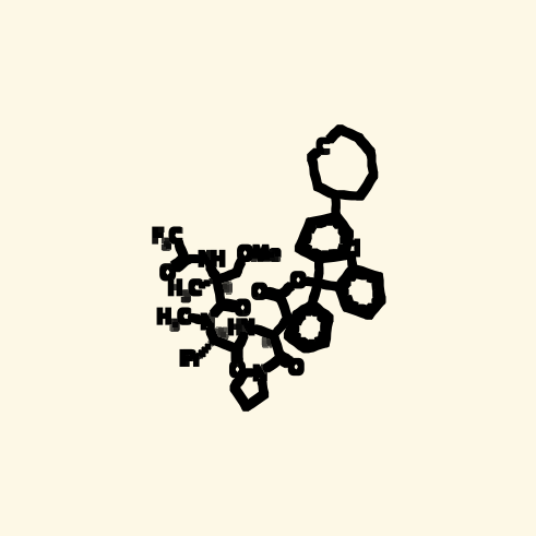 COC[C@](C)(NC(=O)C(F)(F)F)C(=O)N(C)[C@H](C(=O)N[C@@H](CC(=O)OC(c1ccccc1)(c1ccc(C2CCCCCCCC2)cc1)c1ccccc1Cl)C(=O)N1CCCC1)C(C)C